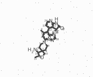 Cc1cc(N2CCC3(CC2)COC(C)C3N)n2ncnc2c1-c1ccnc2c1C(F)(F)C(=O)N2